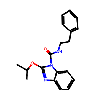 CC(C)Oc1nc2ccccc2n1C(=O)NCCc1ccccc1